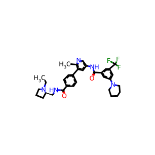 CCN1CCC[C@@H]1CNC(=O)c1ccc(-c2cc(NC(=O)c3cc(N4CCCCC4)cc(C(F)(F)F)c3)cnc2C)cc1